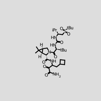 CC(C)[C@@H](CS(=O)(=O)C(C)(C)C)NC(=O)N[C@H](C(=O)N1C[C@H]2[C@@H]([C@H]1C(=O)NC(CC1CCC1)C(=O)C(N)=O)C2(C)C)C(C)(C)C